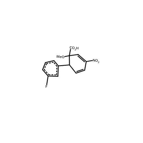 COC1(C(=O)O)C=C([N+](=O)[O-])C=CC1c1cccc(F)c1